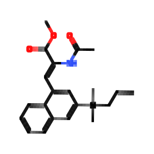 C=CC[Si](C)(C)c1cc(C=C(NC(C)=O)C(=O)OC)c2ccccc2c1